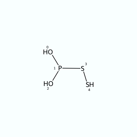 OP(O)SS